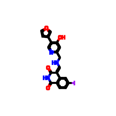 O=C1NC(=O)c2ccc(I)cc2/C1=C/NCc1cc(O)c(-c2ccoc2)cn1